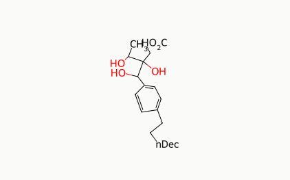 CCCCCCCCCCCCc1ccc(C(O)C(O)(CC(=O)O)C(C)O)cc1